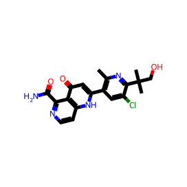 Cc1nc(C(C)(C)CO)c(Cl)cc1-c1cc(=O)c2c(C(N)=O)nccc2[nH]1